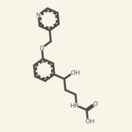 O=C(O)NCCC(O)c1cccc(OCc2cccnc2)c1